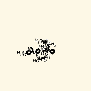 CNCC(=O)OC(C)Cn1c(C)c(C(=O)Nc2ccc(Oc3ccnc4cc(OC)ccc34)c(F)c2)c(=O)n1-c1ccccc1.O=C(O)C=CC(=O)O